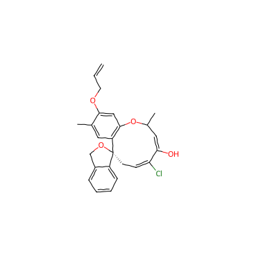 C=CCOc1cc2c(cc1C)[C@]1(C/C=C(Cl)\C(O)=C/C(C)O2)OCc2ccccc21